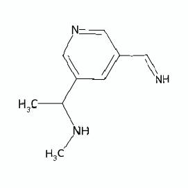 CNC(C)c1cncc(C=N)c1